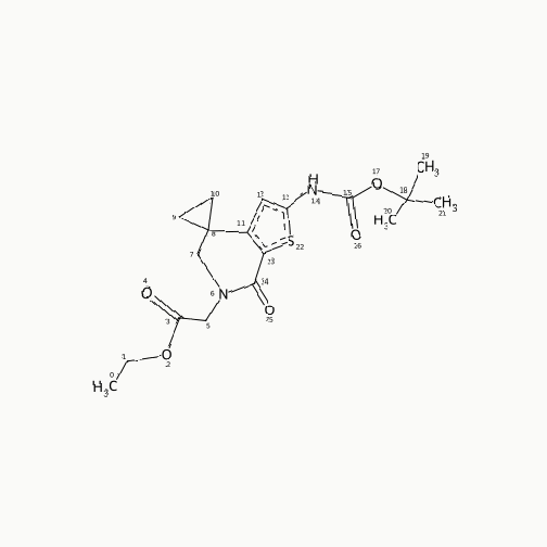 CCOC(=O)CN1CC2(CC2)c2cc(NC(=O)OC(C)(C)C)sc2C1=O